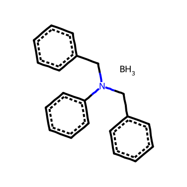 B.c1ccc(CN(Cc2ccccc2)c2ccccc2)cc1